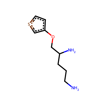 NCCCC(N)COc1ccsc1